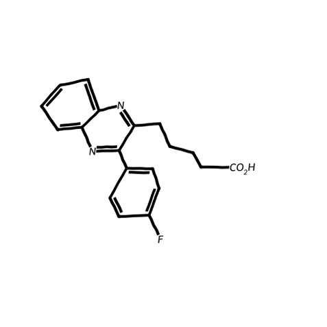 O=C(O)CCCCc1nc2ccccc2nc1-c1ccc(F)cc1